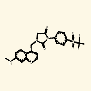 CNc1ccc2c(CN3CC(=O)N(c4ccc(S(=O)(=O)C(F)(F)F)cc4)C3=O)ccnc2c1